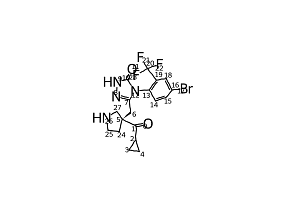 O=C(C1CC1)[C@]1(Cc2n[nH]c(=O)n2-c2ccc(Br)cc2C(F)(F)F)CCNC1